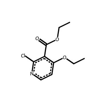 CCOC(=O)c1c(OCC)ccnc1Cl